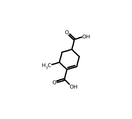 CC1CC(C(=O)O)CC=C1C(=O)O